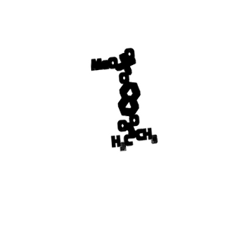 C=C(C)C(=O)Oc1ccc2cc(OCC3(COC)COC3)ccc2c1